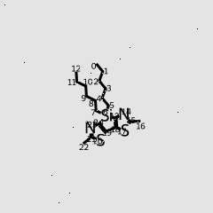 CCCCCC[Si]1(CCCCCC)c2nc(C)sc2-c2sc(C)nc21